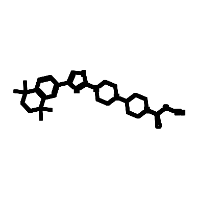 CC(C)(C)OC(=O)N1CCC(N2CCN(c3nc(-c4ccc5c(c4)C(C)(C)CCC5(C)C)cs3)CC2)CC1